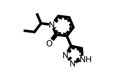 CCC(C)n1cccc(-c2c[nH]nn2)c1=O